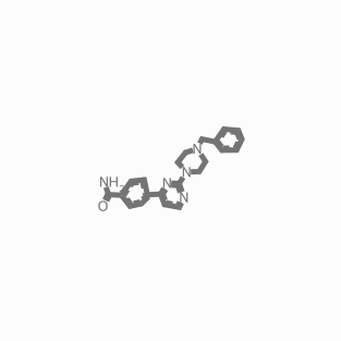 NC(=O)c1ccc(-c2ccnc(N3CCN(Cc4ccccc4)CC3)n2)cc1